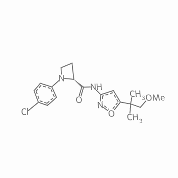 COCC(C)(C)c1cc(NC(=O)[C@@H]2CCN2c2ccc(Cl)cc2)no1